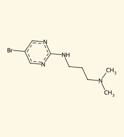 CN(C)CCCNc1ncc(Br)cn1